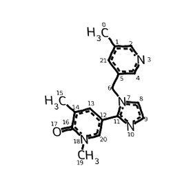 Cc1cncc(Cn2ccnc2-c2cc(C)c(=O)n(C)c2)c1